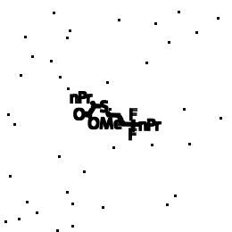 CCCC(SCCCC(F)(F)CCC)C(=O)OC